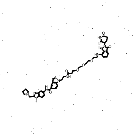 O=C(CCOCCOCCOCCNc1cccc2c1C(=O)N(C1CCC(=O)NC1=O)C2=O)NCCn1ncc2cc(C(=O)Nc3ccc4[nH]c(CN5CCCC5)nc4c3)ccc21